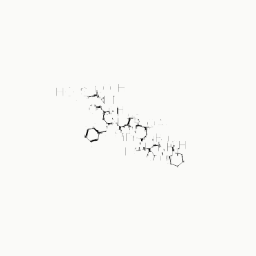 CCC(C)[C@H](NC(=O)[C@H]1CCCCN1C)C(=O)N(C)[C@H](C[C@@H](OC(C)=O)c1nc(C(=O)N[C@@H](Cc2ccccc2)C[C@H](C)C(=O)N[C@@H](CC(=O)O)C(=O)O)cs1)C(C)C